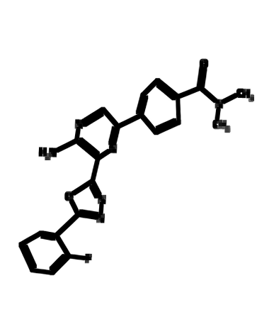 CN(C)C(=O)c1ccc(-c2cnc(N)c(-c3nnc(-c4ccccc4F)o3)n2)cc1